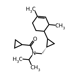 CC1=CC(C)C(C2C[C@@H]2CN(C(=O)C2CC2)C(C)C)CC1